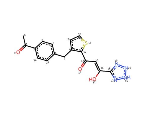 CC(=O)c1ccc(Cc2ccsc2C(=O)C=C(O)c2nn[nH]n2)cc1